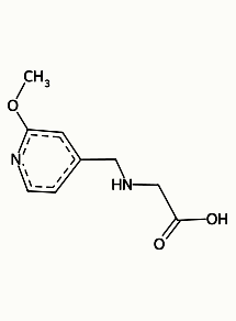 COc1cc(CNCC(=O)O)ccn1